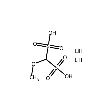 COC(S(=O)(=O)O)S(=O)(=O)O.[LiH].[LiH]